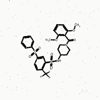 COc1cccc(OC)c1C(=O)N1CCC(NS(=O)(=O)c2cc(S(=O)(=O)c3ccccc3)ccc2C(F)(F)F)CC1